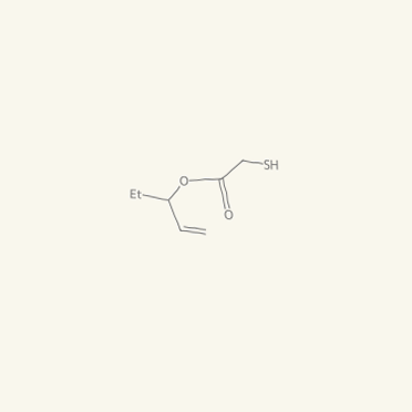 C=CC(CC)OC(=O)CS